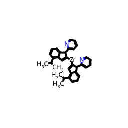 CC(C)c1cccc2c1C=[C]([Zr][C]1=Cc3c(C(C)C)cccc3C1c1ccccn1)C2c1ccccn1